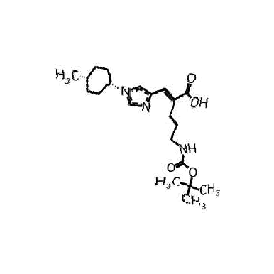 CC(C)(C)OC(=O)NCCC/C(=C\c1cn([C@H]2CC[C@@H](C)CC2)cn1)C(=O)O